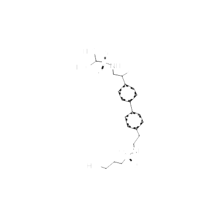 CCCCS(=O)(=O)NCCc1ccc(-c2ccc(C(C)CNS(=O)(=O)C(C)C)cc2)cc1